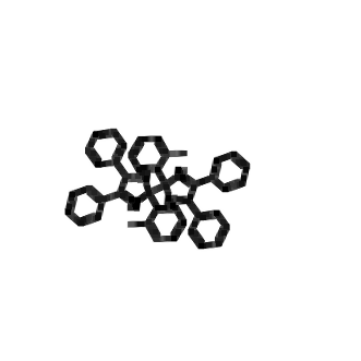 Cc1ccccc1C1(C2(c3ccccc3C)N=C(c3ccccc3)C(c3ccccc3)=N2)N=C(c2ccccc2)C(c2ccccc2)=N1